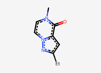 CCc1cc2c(=O)n(C)ccn2n1